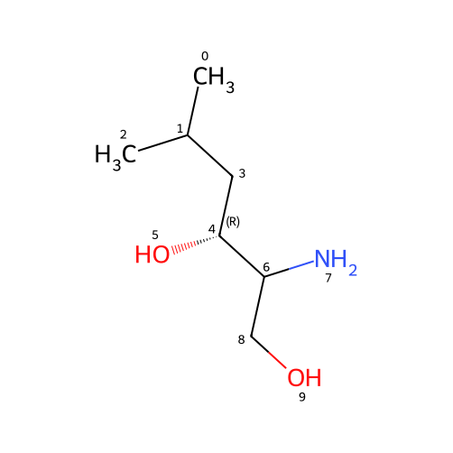 CC(C)C[C@@H](O)C(N)CO